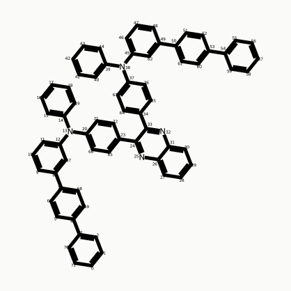 c1ccc(-c2ccc(-c3cccc(N(c4ccccc4)c4ccc(-c5nc6ccccc6nc5-c5ccc(N(c6ccccc6)c6cccc(-c7ccc(-c8ccccc8)cc7)c6)cc5)cc4)c3)cc2)cc1